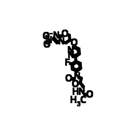 CC(=O)NCC1CN(c2ccc(-c3ccc(OC4COc5nc([N+](=O)[O-])cn5C4)nn3)c(F)c2)C(=O)O1